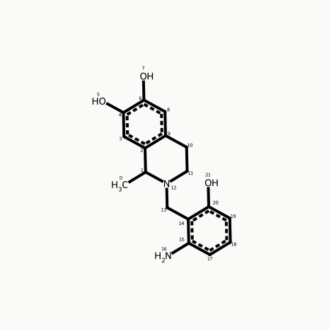 CC1c2cc(O)c(O)cc2CCN1Cc1c(N)cccc1O